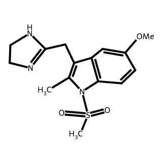 COc1ccc2c(c1)c(CC1=NCCN1)c(C)n2S(C)(=O)=O